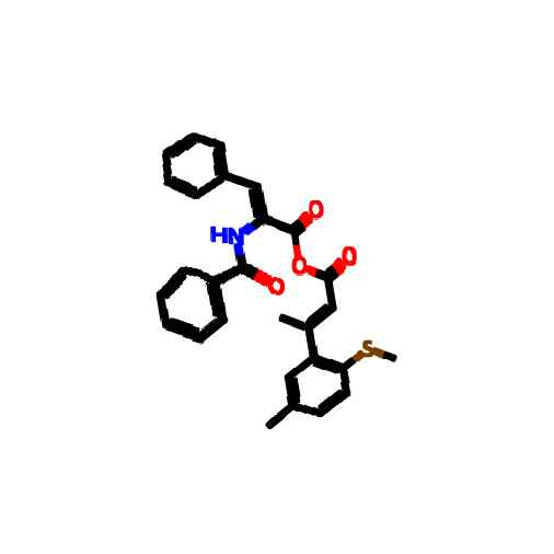 CSc1ccc(C)cc1/C(C)=C/C(=O)OC(=O)C(=Cc1ccccc1)NC(=O)c1ccccc1